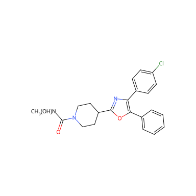 CN(O)C(=O)N1CCC(c2nc(-c3ccc(Cl)cc3)c(-c3ccccc3)o2)CC1